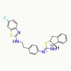 Fc1ccc2nc(NCCc3ccc(/N=C4/N[C@H]5c6ccccc6CC5S4)cc3)sc2c1